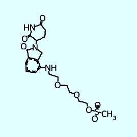 CS(=O)(=O)OCCOCCOCCNc1cccc2c1CN(C1CCC(=O)NC1=O)C2=O